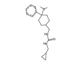 CN(C)C1(c2ccccc2)CCC(CNC(=O)NCC2CC2)CC1